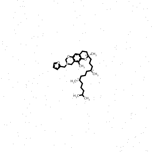 Cc1c2c(cc3c1O[C@](C)(CCC[C@@H](C)CCC[C@@H](C)CCCC(C)C)CC3)OCN(Cc1ccco1)C2